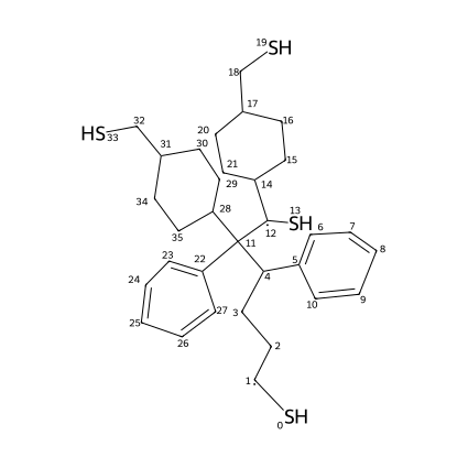 S[CH]CCC(c1ccccc1)C([C](S)C1CCC(CS)CC1)(c1ccccc1)C1CCC(CS)CC1